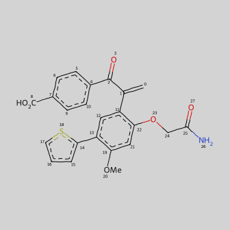 C=C(C(=O)c1ccc(C(=O)O)cc1)c1cc(-c2cccs2)c(OC)cc1OCC(N)=O